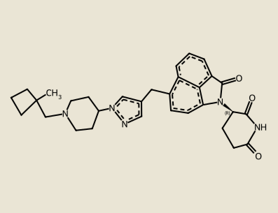 CC1(CN2CCC(n3cc(Cc4ccc5c6c(cccc46)C(=O)N5[C@@H]4CCC(=O)NC4=O)cn3)CC2)CCC1